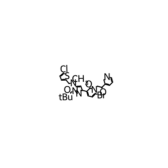 CN(Cc1ccc(Cl)s1)c1cc(-c2ccc(Br)n(CC(=O)c3cccnc3)c2=O)nn1C(=O)C(C)(C)C